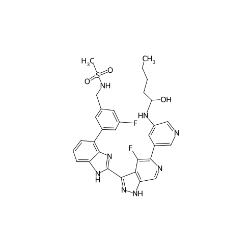 CCCCC(O)Nc1cncc(-c2ncc3[nH]nc(-c4nc5c(-c6cc(F)cc(CNS(C)(=O)=O)c6)cccc5[nH]4)c3c2F)c1